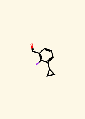 O=Cc1cccc(C2CC2)c1I